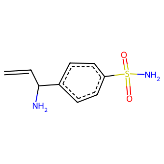 C=CC(N)c1ccc(S(N)(=O)=O)cc1